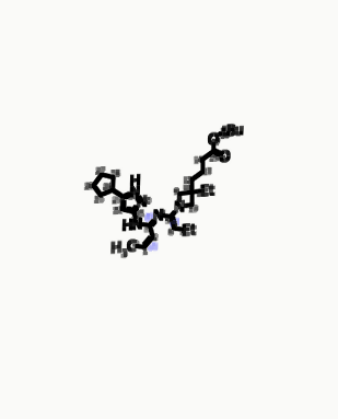 C\C=C/C(=N\C(=C\CC)N1CC(CC)(CCCC(=O)OC(C)(C)C)C1)Nc1cc(C2CCCC2)[nH]n1